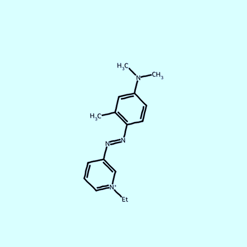 CC[n+]1cccc(N=Nc2ccc(N(C)C)cc2C)c1